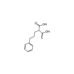 O=C(O)C(CCCc1ccccc1)C(O)=S